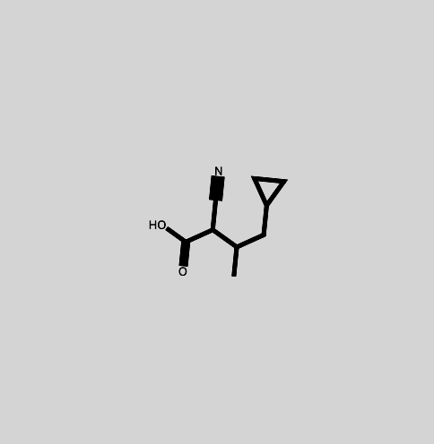 CC(CC1CC1)C(C#N)C(=O)O